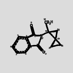 O=C1c2ccccc2C(=O)N1C1(C(=O)O)CC12CC2